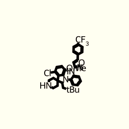 COc1ccc(Cl)c2c1N(c1ccccc1Nc1cc(-c3ccc(C(F)(F)F)cc3)on1)C(CC(C)(C)C)C21CCNCC1